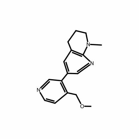 COCc1ccncc1-c1cnc2c(c1)CCCN2C